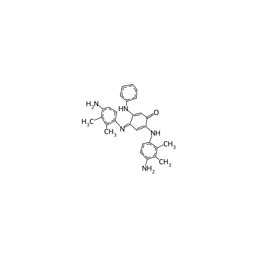 Cc1c(N)ccc(/N=C2/C=C(Nc3ccc(N)c(C)c3C)C(=O)C=C2Nc2ccccc2)c1C